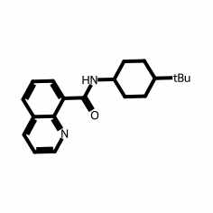 CC(C)(C)C1CCC(NC(=O)c2cccc3cccnc23)CC1